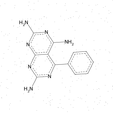 Nc1nc(N)c2c(-c3ccccc3)nc(N)nc2n1